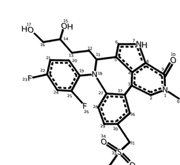 Cn1cc2c3c(c[nH]c3c1=O)C(CCC(O)CO)N(c1ccc(F)cc1F)c1ccc(CS(C)(=O)=O)cc1-2